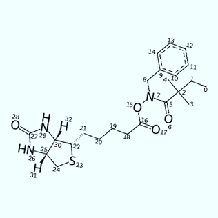 CCC(C)(C)C(=O)N(Cc1ccccc1)OC(=O)CCCC[C@@H]1SC[C@@H]2NC(=O)N[C@@H]21